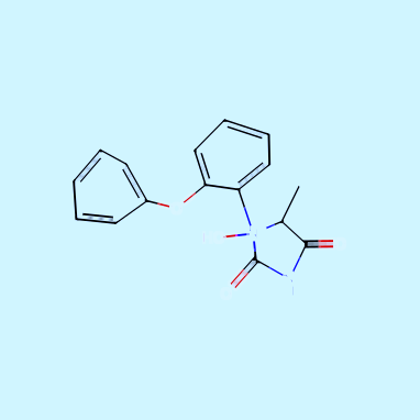 CC1C(=O)NC(=O)[N+]1(O)c1ccccc1Oc1ccccc1